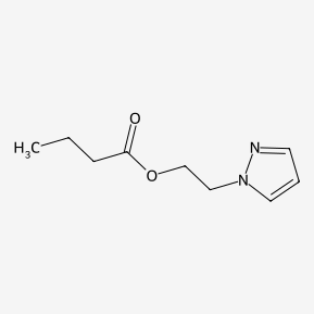 CCCC(=O)OCCn1cccn1